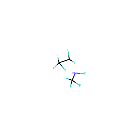 FC(F)C(F)(F)F.FNC(F)(F)F